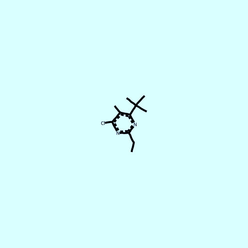 CCc1nc(Cl)c(C)c(C(C)(C)C)n1